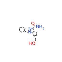 NC(=O)c1nn(Cc2ccccc2)c2c1CC1C(CO)C21